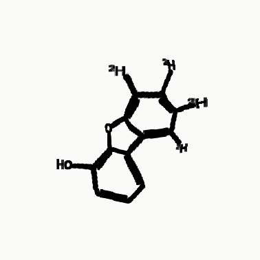 [2H]c1c([2H])c([2H])c2c(oc3c(O)cccc32)c1[2H]